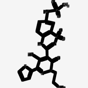 COCCn1nc(-c2cccs2)c(O)c(C2=NS(=O)(=O)c3cc(NS(C)(=O)=O)ccc3N2)c1=O